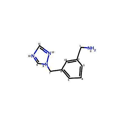 NCc1cccc(Cn2cncn2)c1